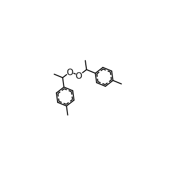 Cc1ccc(C(C)OOC(C)c2ccc(C)cc2)cc1